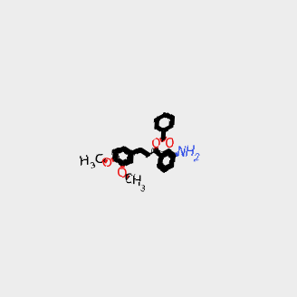 COc1ccc(CC[C@@H](OC(=O)C2CCCCC2)c2cccc(N)c2)cc1OC